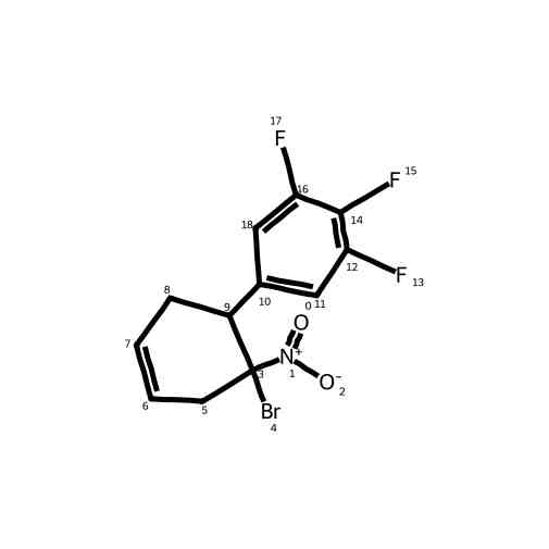 O=[N+]([O-])C1(Br)CC=CCC1c1cc(F)c(F)c(F)c1